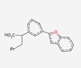 CC(C)CC(C(=O)O)c1cccc(-c2cc3ccccc3o2)c1